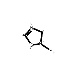 FN1CN=[C]S1